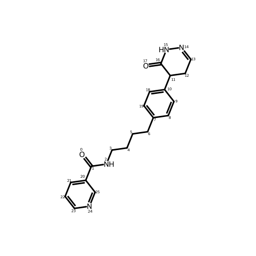 O=C(NCCCCc1ccc(C2CC=NNC2=O)cc1)c1cccnc1